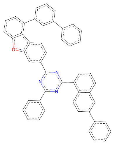 c1ccc(-c2cccc(-c3cccc4oc5cc(-c6nc(-c7ccccc7)nc(-c7cccc8cc(-c9ccccc9)ccc78)n6)ccc5c34)c2)cc1